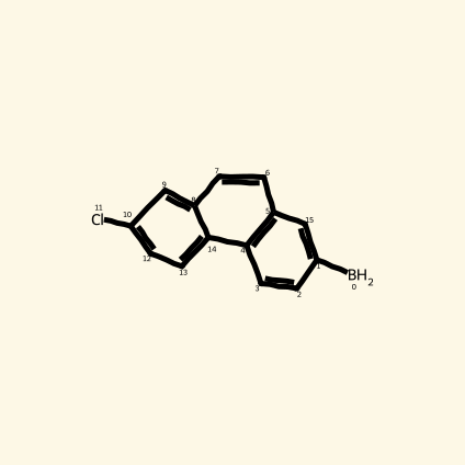 Bc1ccc2c(ccc3cc(Cl)ccc32)c1